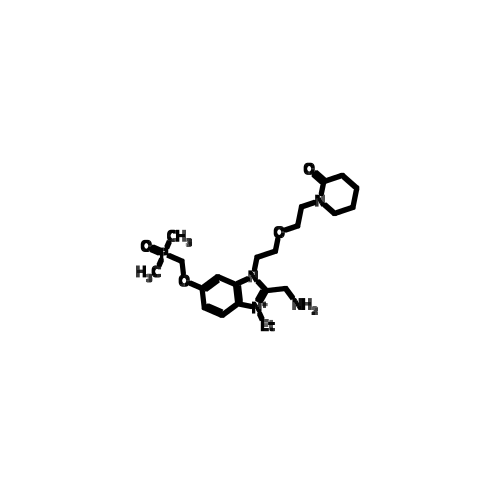 CC[n+]1c(CN)n(CCOCCN2CCCCC2=O)c2cc(OCP(C)(C)=O)ccc21